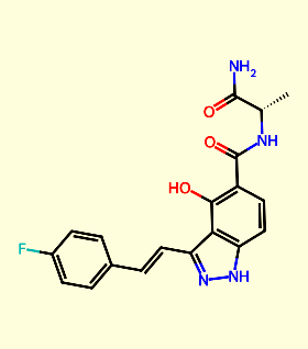 C[C@H](NC(=O)c1ccc2[nH]nc(/C=C/c3ccc(F)cc3)c2c1O)C(N)=O